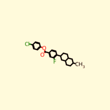 CC1CCC2CC(c3ccc(C(=O)Oc4ccc(Cl)cc4)cc3F)CCC2C1